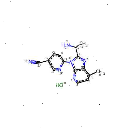 Cc1ccnc2c1nc(C(C)N)n2-c1ccc(C#N)cn1.Cl